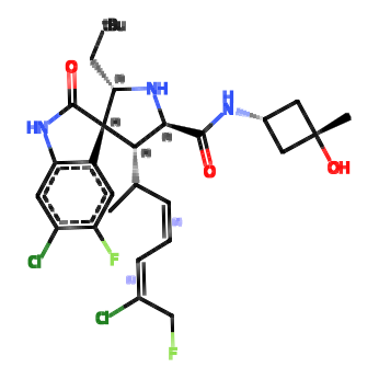 CC(/C=C\C=C(\Cl)CF)[C@H]1[C@H](C(=O)N[C@H]2C[C@@](C)(O)C2)N[C@@H](CC(C)(C)C)[C@@]12C(=O)Nc1cc(Cl)c(F)cc12